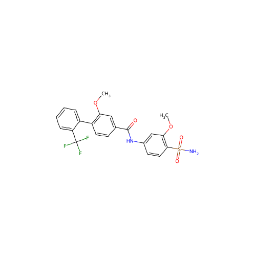 COc1cc(C(=O)Nc2ccc(S(N)(=O)=O)c(OC)c2)ccc1-c1ccccc1C(F)(F)F